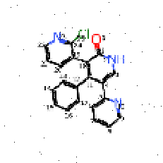 O=c1[nH]cc(-c2ccccn2)c(-c2ccccc2)c1-c1cccnc1Cl